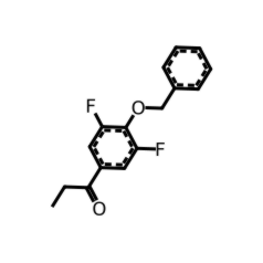 CCC(=O)c1cc(F)c(OCc2ccccc2)c(F)c1